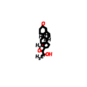 C[C@H](O)C(=O)C12CCC3(CC1)[C@@H]1C=CC4=CC(=O)CC[C@@H]4[C@H]1CC[C@]23C